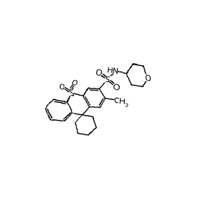 Cc1cc2c(cc1S(=O)(=O)NC1CCOCC1)S(=O)(=O)c1ccccc1C21CCCCC1